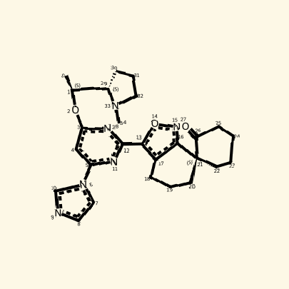 C[C@H](Oc1cc(-n2ccnc2)nc(-c2onc3c2CCC[C@@]32CCCCC2=O)n1)[C@@H]1CCCN1C